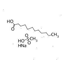 CCCCCCCCCCCC(=O)O.CS(=O)(=O)O.[NaH]